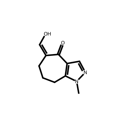 Cn1ncc2c1CCCC(=CO)C2=O